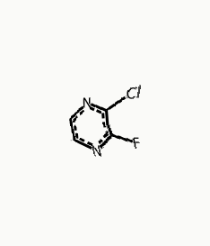 Fc1n[c]cnc1Cl